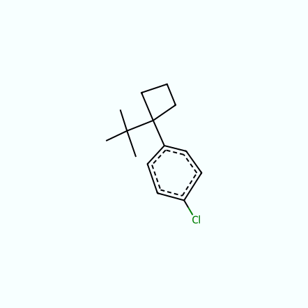 CC(C)(C)C1(c2ccc(Cl)cc2)CCC1